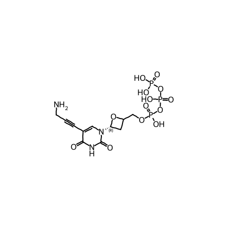 NCC#Cc1cn([C@H]2CC(COP(=O)(O)OP(=O)(O)OP(=O)(O)O)O2)c(=O)[nH]c1=O